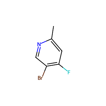 Cc1cc(F)c(Br)cn1